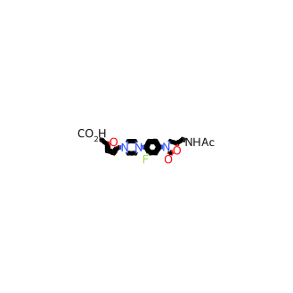 CC(=O)NCC1CN(c2ccc(N3CCN(c4ccc(CC(=O)O)o4)CC3)c(F)c2)C(=O)O1